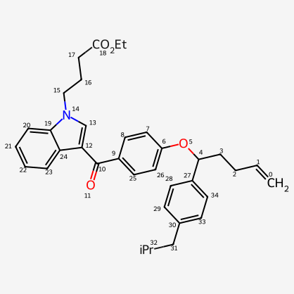 C=CCCC(Oc1ccc(C(=O)c2cn(CCCC(=O)OCC)c3ccccc23)cc1)c1ccc(CC(C)C)cc1